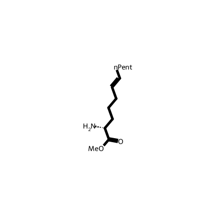 CCCCC/C=C/CCC[C@@H](N)C(=O)OC